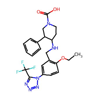 CCOc1ccc(-n2nnnc2C(F)(F)F)cc1CNC1CCN(C(=O)O)CC1c1ccccc1